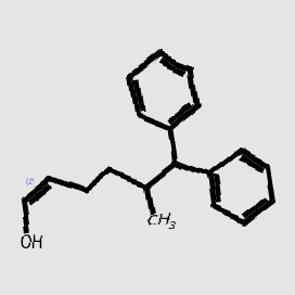 CC(CC/C=C\O)C(c1ccccc1)c1ccccc1